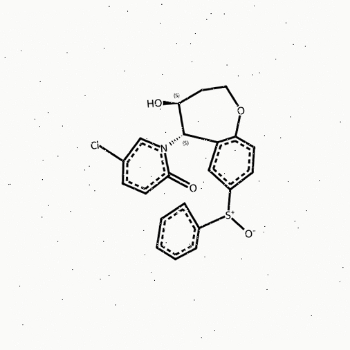 O=c1ccc(Cl)cn1[C@H]1c2cc([S+]([O-])c3ccccc3)ccc2OCC[C@@H]1O